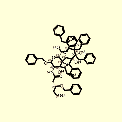 C=CC[C@@]1(O)[C@H](NC(=O)C[C@@H](CCCCCCCCCCC)OCc2ccccc2)[C@@H](OCc2ccccc2)O[C@H](C(O)Cc2ccccc2)[C@]1(O)[C@@H]1O[C@H](C(O)Cc2ccccc2)[C@](O)(Cc2ccccc2)[C@@](O)(Cc2ccccc2)[C@@]1(O)Cc1ccccc1